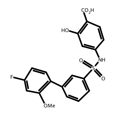 COc1cc(F)ccc1-c1cccc(S(=O)(=O)Nc2ccc(C(=O)O)c(O)c2)c1